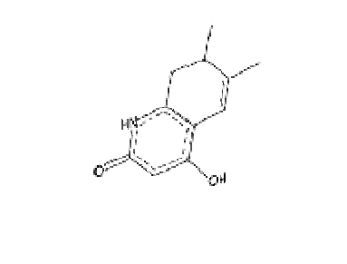 CC1=Cc2c(O)cc(=O)[nH]c2CC1C